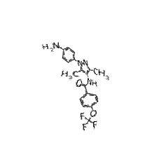 Cc1nn(-c2ccc(N)cc2)c(C)c1NC(=O)c1ccc(OC(F)(F)F)cc1